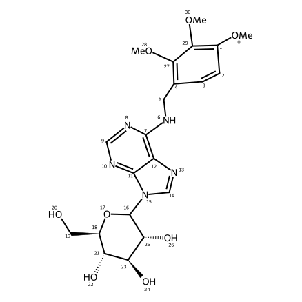 COc1ccc(CNc2ncnc3c2ncn3C2O[C@H](CO)[C@@H](O)[C@H](O)[C@H]2O)c(OC)c1OC